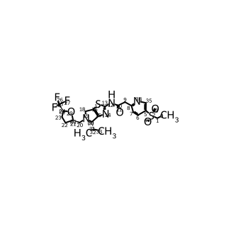 CCS(=O)(=O)c1ccc(CC(=O)Nc2nc3c(s2)CN(C[C@H]2CC[C@@H](C(F)(F)F)O2)[C@H]3C(C)C)nc1